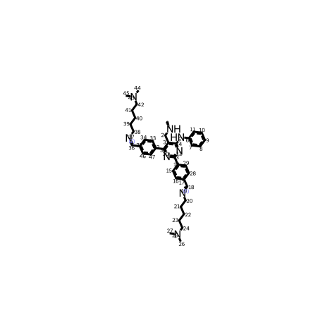 CNCc1c(Nc2ccccc2)nc(-c2ccc(/C=N/CCCCCN(C)C)cc2)nc1-c1ccc(/C=N\CCCCCN(C)C)cc1